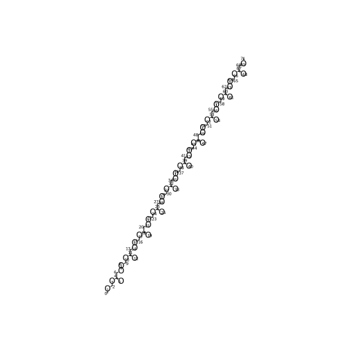 COCOC(=O)COOCOC(=O)COOCOC(=O)COOCOC(=O)COOCOC(=O)COOCOC(=O)COOCOC(=O)COOCOC(=O)COOCOC(=O)COOCOC(=O)COC